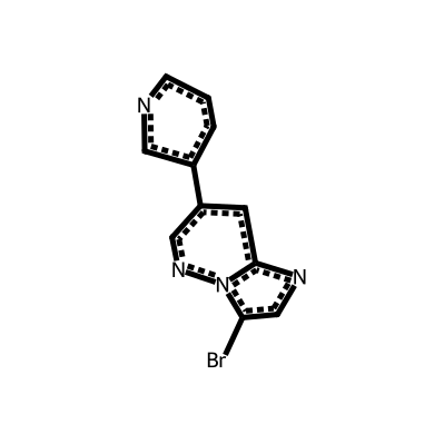 Brc1cnc2cc(-c3cccnc3)cnn12